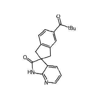 CC(C)(C)C(=O)c1ccc2c(c1)CC1(C2)C(=O)Nc2ncccc21